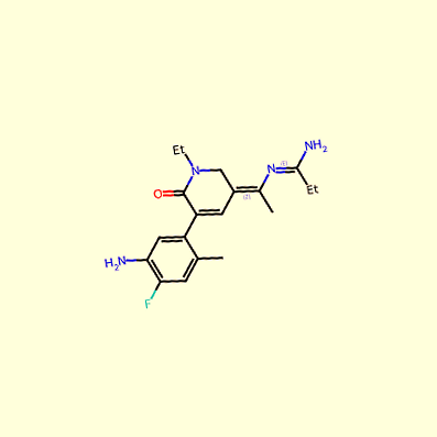 CC/C(N)=N\C(C)=C1\C=C(c2cc(N)c(F)cc2C)C(=O)N(CC)C1